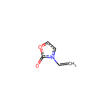 C=Cn1ccoc1=O